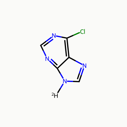 [2H]n1cnc2c(Cl)ncnc21